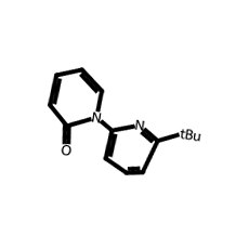 CC(C)(C)c1cccc(-n2ccccc2=O)n1